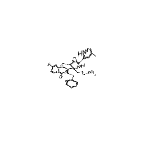 Cc1cc(C(=O)NC(CCCN)(c2oc3cc(F)ccc3c(=O)c2Cc2ccccc2)C(C)C)[nH]n1